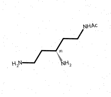 CC(=O)NCC[C@H](N)CCN